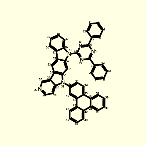 c1ccc(-c2nc(-c3ccccc3)nc(-n3c4ccccc4c4cc5c6cnccc6n(-c6ccc7c8ccccc8c8ccccc8c7c6)c5cc43)n2)cc1